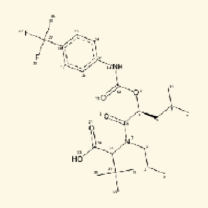 CCCN(C(=O)[C@H](CC(C)C)OC(=O)Nc1ccc(C(F)(F)F)cc1)C(C(=O)O)C(C)(C)C